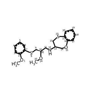 COc1ccccc1SC[C@@H](CNC1COc2ccccc2SC1)OC